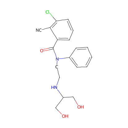 N#Cc1c(Cl)cccc1C(=O)N(CCNC(CO)CO)c1ccccc1